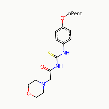 CCCCCOc1ccc(NC(=S)NC(=O)CN2CCOCC2)cc1